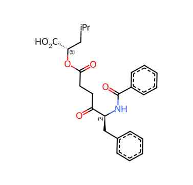 CC(C)C[C@H](OC(=O)CCC(=O)[C@H](Cc1ccccc1)NC(=O)c1ccccc1)C(=O)O